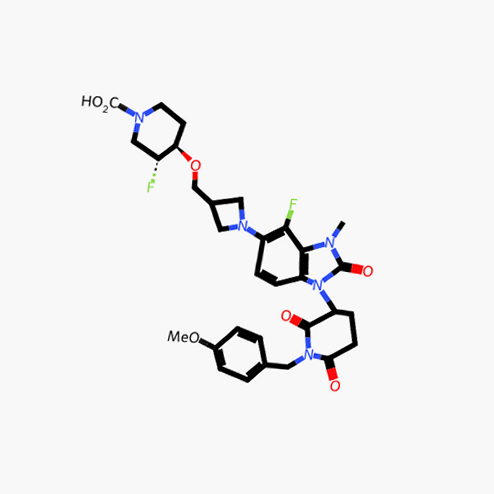 COc1ccc(CN2C(=O)CCC(n3c(=O)n(C)c4c(F)c(N5CC(CO[C@@H]6CCN(C(=O)O)C[C@H]6F)C5)ccc43)C2=O)cc1